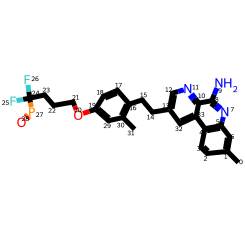 Cc1ccc2c(c1)nc(N)c1ncc(CCc3ccc(OCCCC(F)(F)P=O)cc3C)cc12